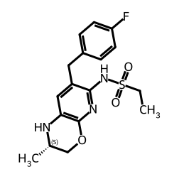 CCS(=O)(=O)Nc1nc2c(cc1Cc1ccc(F)cc1)N[C@@H](C)CO2